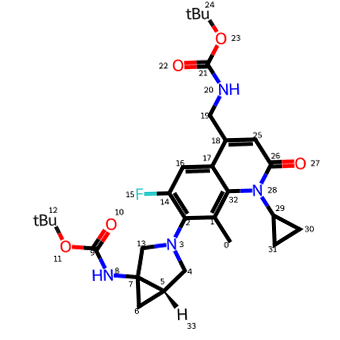 Cc1c(N2C[C@@H]3CC3(NC(=O)OC(C)(C)C)C2)c(F)cc2c(CNC(=O)OC(C)(C)C)cc(=O)n(C3CC3)c12